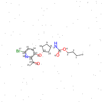 CCCCOC(=O)N[C@H]1CC[C@@H](Oc2ccc(Br)nc2C(C)=O)C1